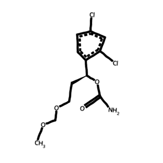 COCOCC[C@H](OC(N)=O)c1ccc(Cl)cc1Cl